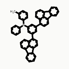 Cc1cccc(N(c2ccccc2)c2cc(-c3ccc4c5c(cccc35)-c3ccccc3-4)cc(-c3ccc4c5c(cccc35)-c3ccccc3-4)c2)c1